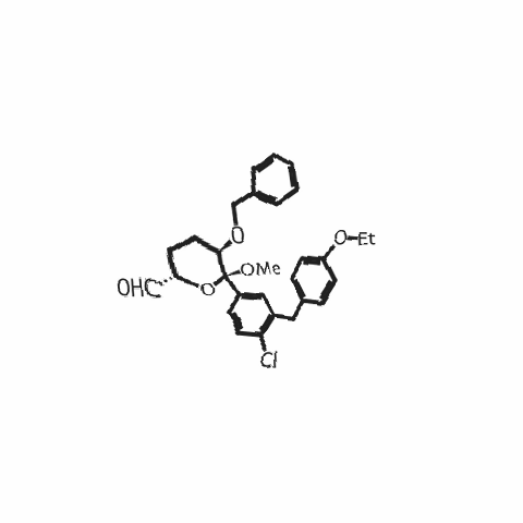 CCOc1ccc(Cc2cc([C@]3(OC)O[C@H](C=O)CC[C@H]3OCc3ccccc3)ccc2Cl)cc1